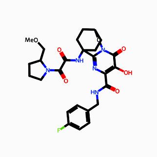 COCC1CCCN1C(=O)C(=O)NC12CCC(CC1)Cn1c2nc(C(=O)NCc2ccc(F)cc2)c(O)c1=O